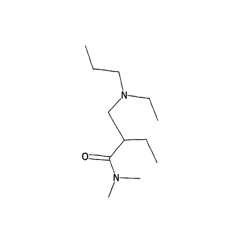 CCCN(CC)CC(CC)C(=O)N(C)C